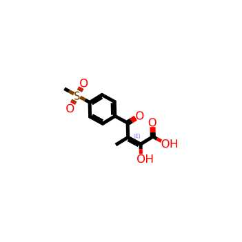 C/C(C(=O)c1ccc(S(C)(=O)=O)cc1)=C(\O)C(=O)O